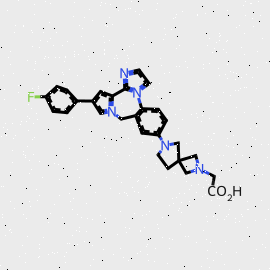 O=C(O)CN1CC2(CCN(c3ccc4c(c3)Cn3cc(-c5ccc(F)cc5)cc3-c3nccn3-4)C2)C1